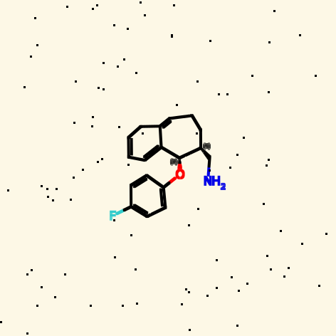 NC[C@@H]1CCC=C2CC=CC=C2[C@@H]1Oc1ccc(F)cc1